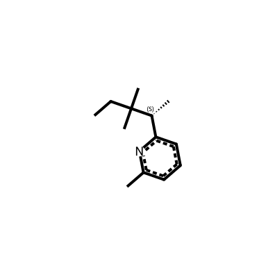 CCC(C)(C)[C@H](C)c1cccc(C)n1